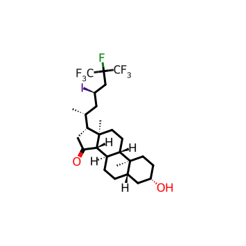 C[C@H](C[C@@H](I)CC(F)(C(F)(F)F)C(F)(F)F)[C@H]1CC(=O)[C@H]2[C@@H]3CC[C@H]4C[C@@H](O)CC[C@]4(C)[C@H]3CC[C@]12C